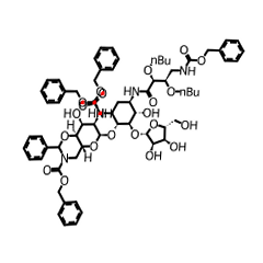 CCCCO[C@H](C(=O)N[C@@H]1C[C@H](NC(=O)OCc2ccccc2)[C@@H](O[C@H]2O[C@@H]3CN(C(=O)OCc4ccccc4)C(c4ccccc4)O[C@H]3[C@@H](O)[C@H]2NC(=O)OCc2ccccc2)[C@H](O[C@@H]2O[C@H](CO)[C@@H](O)[C@H]2O)[C@H]1O)[C@@H](CNC(=O)OCc1ccccc1)OCCCC